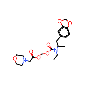 CCN(C(=O)OCOC(=O)CN1CCOCC1)C(C)Cc1ccc2c(c1)OCO2